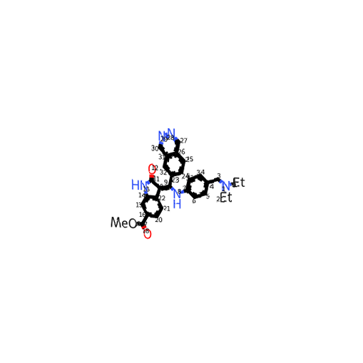 CCN(CC)Cc1ccc(NC(=C2C(=O)Nc3cc(C(=O)OC)ccc32)c2ccc3cnncc3c2)cc1